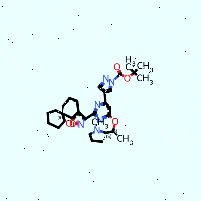 C[C@H](Oc1cc(-c2cnn(C(=O)OC(C)(C)C)c2)nc(-c2noc3c2CCC[C@@]32CCCCC2O)n1)[C@@H]1CCCN1C